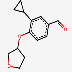 O=Cc1ccc(OC2CCOC2)c(C2CC2)c1